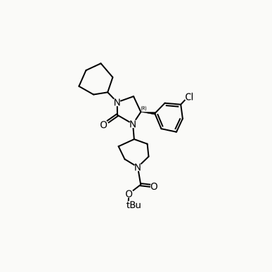 CC(C)(C)OC(=O)N1CCC(N2C(=O)N(C3CCCCC3)C[C@H]2c2cccc(Cl)c2)CC1